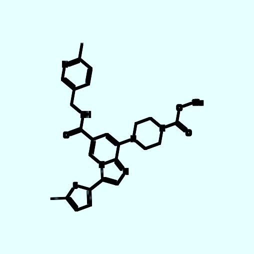 Cc1ccc(CNC(=O)c2cc(N3CCN(C(=O)OC(C)(C)C)CC3)c3ncc(-c4ccc(C)s4)n3c2)cn1